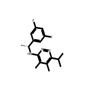 Cc1c(N[C@H](C)c2cc(F)cc(F)c2)nnc(C(C)C)c1C